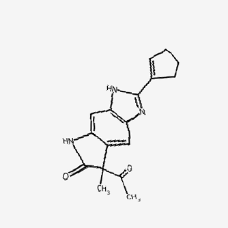 CC(=O)C1(C)C(=O)Nc2cc3[nH]c(C4=CCCC4)nc3cc21